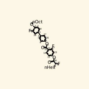 CCCCCCCCOc1ccc(-c2ccc(OC(=O)c3ccc(OC(=O)[C@@H](F)CCCCCC)cc3F)cc2)cc1F